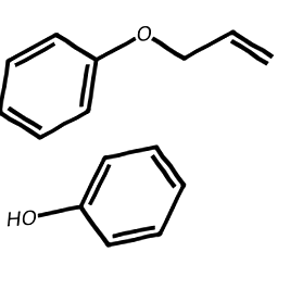 C=CCOc1ccccc1.Oc1ccccc1